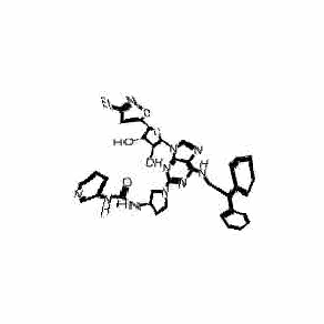 CCc1cc([C@H]2O[C@@H](n3cnc4c(NCC(c5ccccc5)c5ccccc5)nc(N5CC[C@@H](NC(=O)Nc6cccnc6)C5)nc43)[C@@H](O)[C@@H]2O)on1